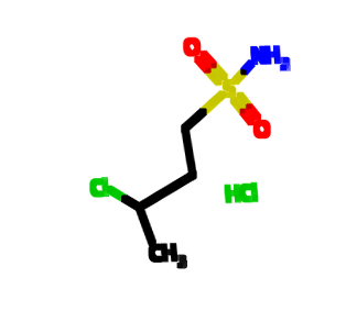 CC(Cl)CCS(N)(=O)=O.Cl